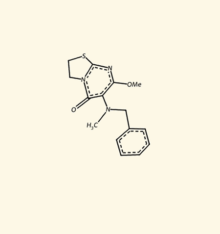 COc1nc2n(c(=O)c1N(C)Cc1ccccc1)CCS2